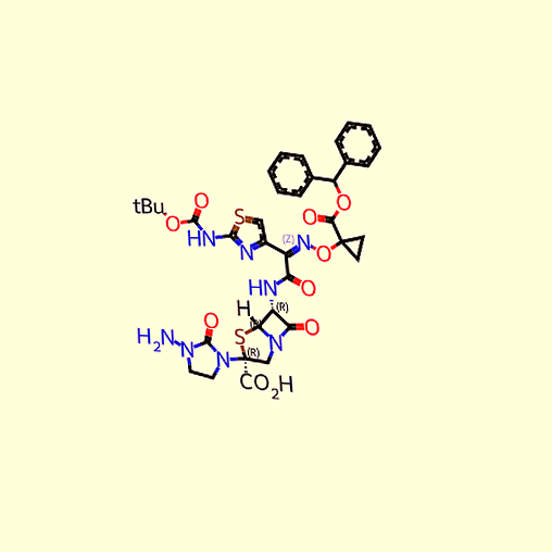 CC(C)(C)OC(=O)Nc1nc(/C(=N/OC2(C(=O)OC(c3ccccc3)c3ccccc3)CC2)C(=O)N[C@@H]2C(=O)N3C[C@@](C(=O)O)(N4CCN(N)C4=O)S[C@H]23)cs1